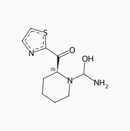 NC(O)N1CCCC[C@H]1C(=O)c1nccs1